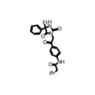 CCC1(c2ccccc2)NC(=O)N(CC(=O)c2ccc(NC(=O)CC(C)C)cc2)C1=O